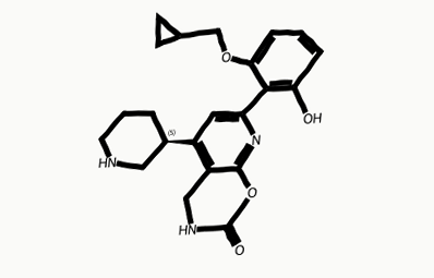 O=C1NCc2c([C@@H]3CCCNC3)cc(-c3c(O)cccc3OCC3CC3)nc2O1